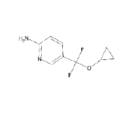 Nc1ccc(C(F)(F)OC2CC2)cn1